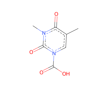 Cc1cn(C(=O)O)c(=O)n(C)c1=O